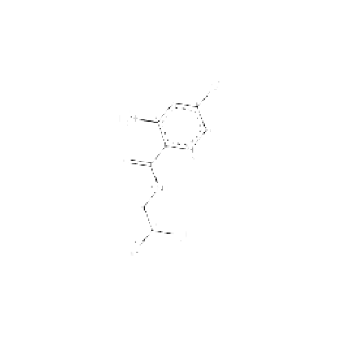 Nc1cc(Br)cnc1C(=O)NCC(O)C(F)(F)F